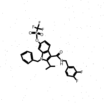 CC(C)c1c(C(=O)NCc2ccc(F)c(F)c2)c2ccc(OS(=O)(=O)C(F)(F)F)cc2n1Cc1ccccc1